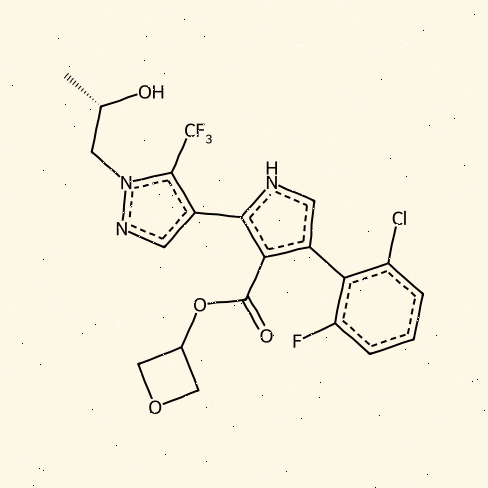 C[C@H](O)Cn1ncc(-c2[nH]cc(-c3c(F)cccc3Cl)c2C(=O)OC2COC2)c1C(F)(F)F